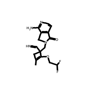 CC1=C(OCC(F)F)C(C=N)(CN2Cc3c(ccnc3N)C2=O)C1